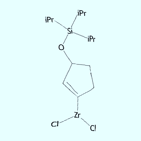 CC(C)[Si](OC1C=[C]([Zr]([Cl])[Cl])CC1)(C(C)C)C(C)C